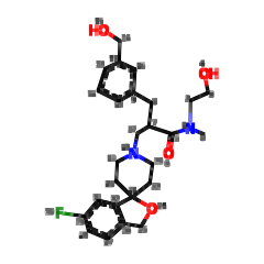 CN(CCO)C(=O)C(Cc1cccc(CO)c1)CN1CCC2(CC1)OCc1ccc(F)cc12